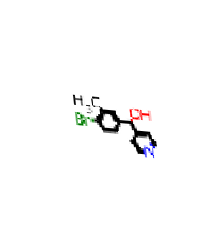 Cc1cc([C@H](O)c2ccncc2)ccc1Br